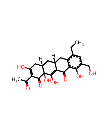 CCc1cc(CO)c(O)c2c1C[C@H]1C[C@H]3CC(O)=C(C(C)=O)C(=O)[C@@]3(O)C(O)=C1C2=O